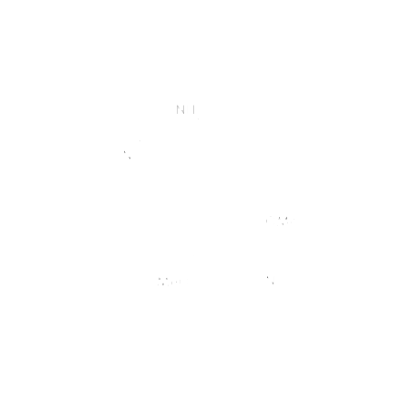 C=C1C(N)=CC(c2cc(OC)c(CN(C)C)c(OC)c2)=CN1C